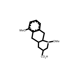 COc1cccc2c1CC1CC(C(=O)O)CN(OC)C1C2